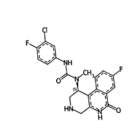 CN(C(=O)Nc1ccc(F)c(Cl)c1)[C@@H]1CNCc2[nH]c(=O)c3cc(F)ccc3c21